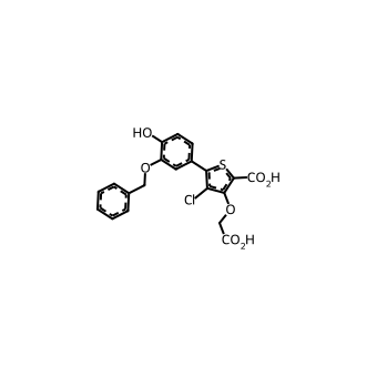 O=C(O)COc1c(C(=O)O)sc(-c2ccc(O)c(OCc3ccccc3)c2)c1Cl